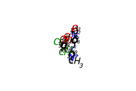 C[n+]1ccc(/C=C/c2ccc(N3CCOCC3)cc2)cc1.O=S(=O)([O-])c1cc(Cl)c(Cl)cc1Cl